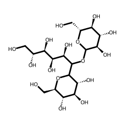 OC[C@@H](O)[C@@H](O)[C@H](O)[C@@H](O)C(OC1O[C@H](CO)[C@@H](O)[C@H](O)[C@H]1O)C1O[C@H](CO)[C@@H](O)[C@H](O)[C@H]1O